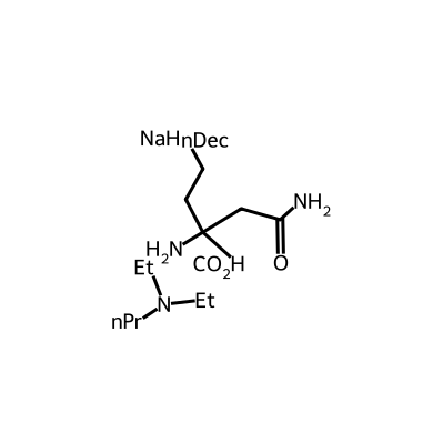 CCCCCCCCCCCCC(N)(CC(N)=O)C(=O)O.CCCN(CC)CC.[NaH]